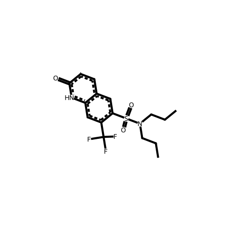 CCCN(CCC)S(=O)(=O)c1cc2c[c]c(=O)[nH]c2cc1C(F)(F)F